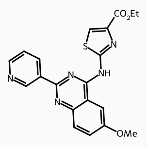 CCOC(=O)c1csc(Nc2nc(-c3cccnc3)nc3ccc(OC)cc23)n1